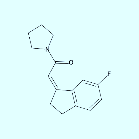 O=C(/C=C1/CCc2ccc(F)cc21)N1CCCC1